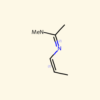 C/C=C\N=C(\C)NC